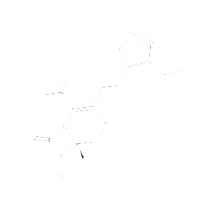 CCn1nncc1SCC1=C(C(=O)O)N2C(=O)[C@@H](O)[C@H]2SC1